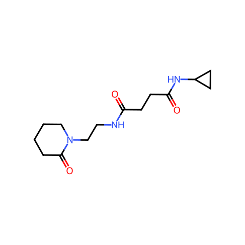 O=C(CCC(=O)NC1CC1)NCCN1CCCCC1=O